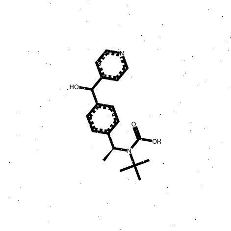 C[C@@H](c1ccc(C(O)c2ccncc2)cc1)N(C(=O)O)C(C)(C)C